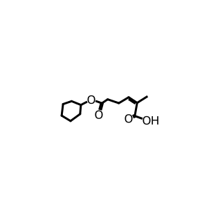 CC(=CCCC(=O)OC1CCCCC1)C(=O)O